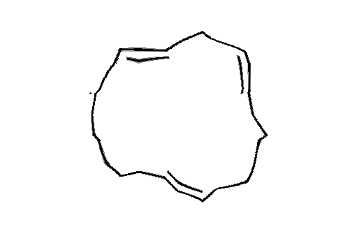 [CH]1/C=C/C/C=C/CC/C=C/CC1